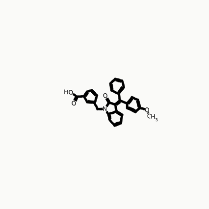 COc1ccc(/C(=C2/C(=O)N(Cc3cccc(C(=O)O)c3)c3ccccc32)c2ccccc2)cc1